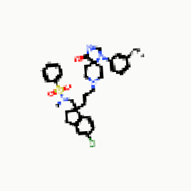 CN(CC1(CCCN2CCC3(CC2)C(=O)NCN3c2cccc(C(F)(F)F)c2)CCc2cc(Cl)ccc21)S(=O)(=O)c1ccccc1